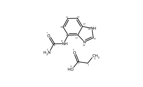 CCC(=O)O.NC(=O)Nc1cccc2[nH]cnc12